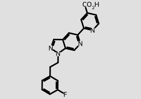 O=C(O)c1ccnc(-c2cc3cnn(CCc4cccc(F)c4)c3cn2)c1